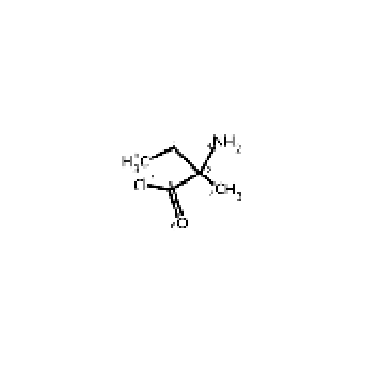 CCC(C)(N)C(=O)Cl